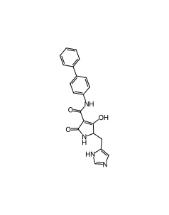 O=C(Nc1ccc(-c2ccccc2)cc1)C1=C(O)C(Cc2cnc[nH]2)NC1=O